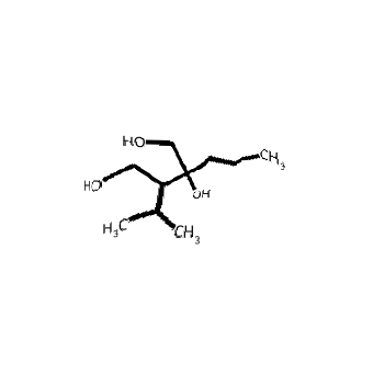 CCCC(O)(CO)C(CO)C(C)C